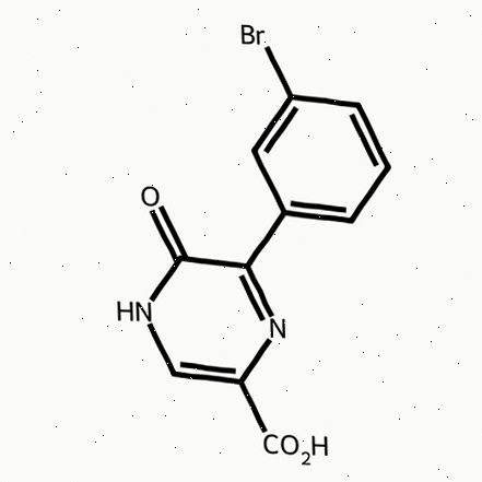 O=C(O)c1c[nH]c(=O)c(-c2cccc(Br)c2)n1